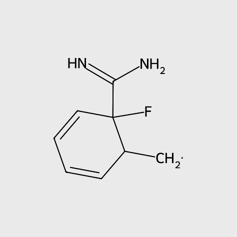 [CH2]C1C=CC=CC1(F)C(=N)N